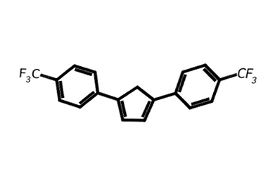 FC(F)(F)c1ccc(C2=CC=C(c3ccc(C(F)(F)F)cc3)C2)cc1